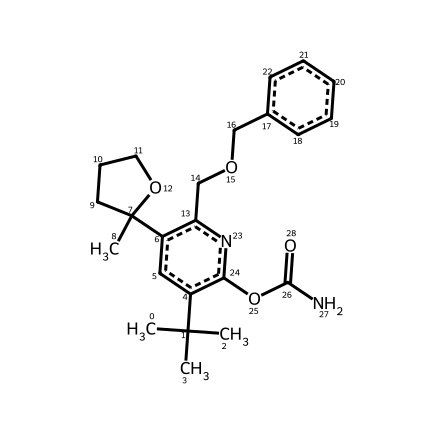 CC(C)(C)c1cc(C2(C)CCCO2)c(COCc2ccccc2)nc1OC(N)=O